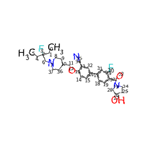 CCC(F)(CC)CN1CCC(COc2ccc(-c3ccc(C(=O)N4CCC(O)C4)c(F)c3)cc2C#N)CC1